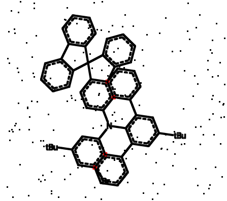 CC(C)(C)c1cc(Br)cc(N(c2ccc3c(c2)-c2ccccc2C32c3ccccc3-c3ccccc32)c2c(-c3ccccc3)cc(C(C)(C)C)cc2-c2ccccc2)c1